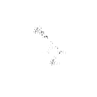 CN(Cc1cnc2nc(N)nc(N)c2n1)c1ccc(C(=O)N[C@@H](CCC(=O)NCCCCCN(CCCCCNC(=O)CC[C@@H](NC(=O)c2ccc(N(C)Cc3cnc4nc(N)nc(N)c4n3)cc2)C(=O)O)CCOCCOCCN)C(=O)O)cc1